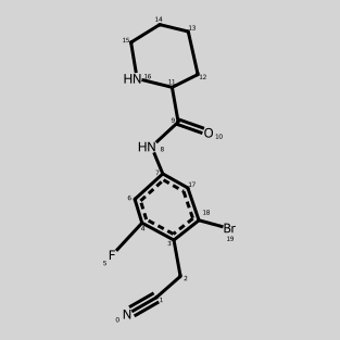 N#CCc1c(F)cc(NC(=O)C2CCCCN2)cc1Br